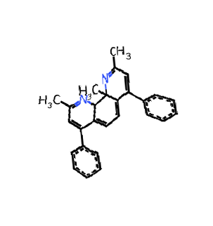 CC1=NC2C(=CC=C3C(c4ccccc4)=CC(C)=NC32C)C(c2ccccc2)=C1